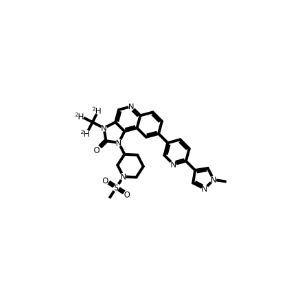 [2H]C([2H])([2H])n1c(=O)n(C2CCCN(S(C)(=O)=O)C2)c2c3cc(-c4ccc(-c5cnn(C)c5)nc4)ccc3ncc21